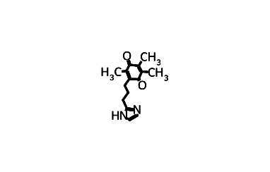 CC1=C(C)C(=O)C(CCCc2ncc[nH]2)=C(C)C1=O